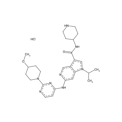 COC1CCN(c2nccc(Nc3cc4c(cn3)c(C(=O)NC3CCNCC3)cn4C(C)C)n2)CC1.Cl